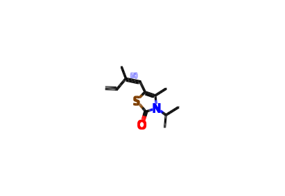 C=C/C(C)=C\c1sc(=O)n(C(C)C)c1C